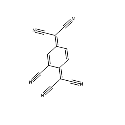 N#CC(C#N)=c1ccc(=C(C#N)C#N)c(C#N)c1